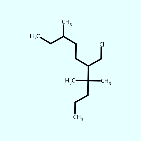 CCCC(C)(C)C(CCl)CCC(C)CC